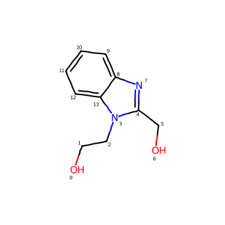 OCCn1c(CO)nc2ccccc21